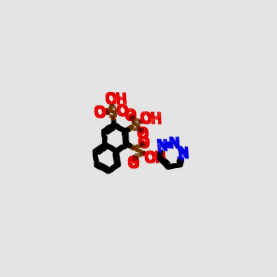 O=S(=O)(O)c1cc2ccccc2c(S(=O)(=O)O)c1S(=O)(=O)O.c1cnnnc1